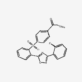 COC(=O)c1ccc(S(=O)(=O)c2ccccc2-c2nc(-c3ccccc3F)no2)cc1